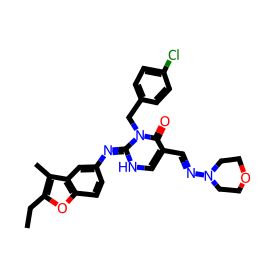 CCc1oc2ccc(/N=c3\[nH]cc(C=NN4CCOCC4)c(=O)n3Cc3ccc(Cl)cc3)cc2c1C